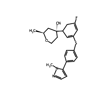 C[C@H]1C[C@@](C#N)(C2C=C(Sc3ccc(-c4ccnn4C)cc3)C=C(F)C2)CCO1